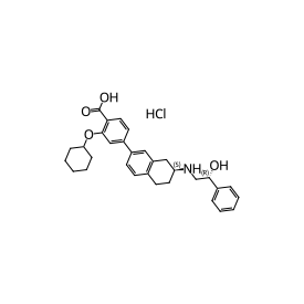 Cl.O=C(O)c1ccc(-c2ccc3c(c2)C[C@@H](NC[C@H](O)c2ccccc2)CC3)cc1OC1CCCCC1